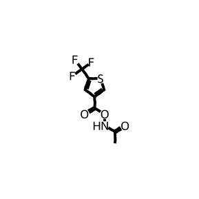 CC(=O)NOC(=O)c1csc(C(F)(F)F)c1